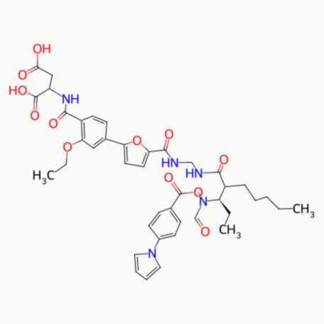 CCCCCC(C(=O)NCNC(=O)c1ccc(-c2ccc(C(=O)NC(CC(=O)O)C(=O)O)c(OCC)c2)o1)[C@@H](CC)N(C=O)OC(=O)c1ccc(-n2cccc2)cc1